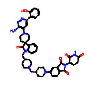 Nc1nnc(-c2ccccc2O)cc1N1CCC(C(=O)NCC2CCN(CC3CCN(c4ccc5c(c4)C(=O)N(C4CCC(=O)NC4=O)C5=O)CC3)CC2)(c2ccccc2)CC1